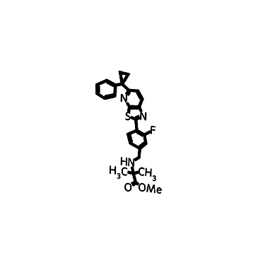 COC(=O)C(C)(C)NCc1ccc(-c2nc3ccc(C4(c5ccccc5)CC4)nc3s2)c(F)c1